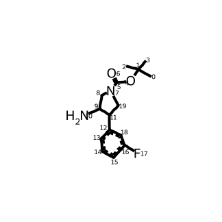 CC(C)(C)OC(=O)N1CC(N)C(c2cccc(F)c2)C1